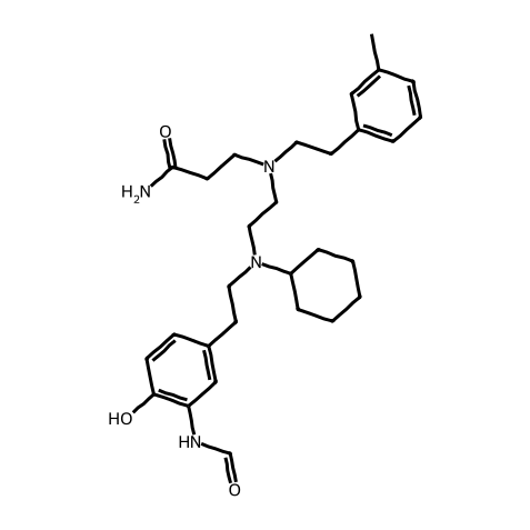 Cc1cccc(CCN(CCC(N)=O)CCN(CCc2ccc(O)c(NC=O)c2)C2CCCCC2)c1